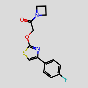 O=C(COc1nc(-c2ccc(F)cc2)cs1)N1CCC1